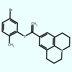 C=C(Sc1cc(Br)ccc1C)c1cc2c3c(c1)CCCN3CCC2